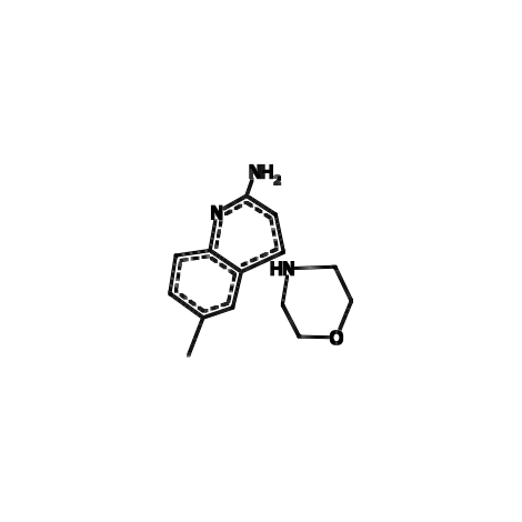 C1COCCN1.Cc1ccc2nc(N)ccc2c1